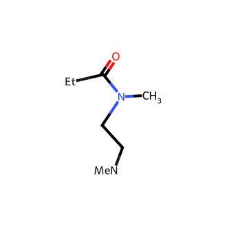 CCC(=O)N(C)CCNC